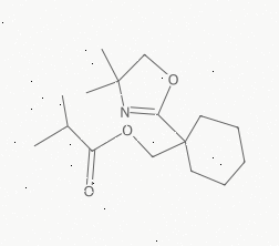 CC(C)C(=O)OCC1(C2=NC(C)(C)CO2)CCCCC1